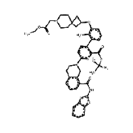 CCOC(=O)CN1CCC2(CC1)CC(Oc1cccc(-c3ccc(N4CCc5cccc(C(=O)Nc6nc7ccccc7s6)c5C4)nc3C(=O)OC(C)(C)C)c1C)C2